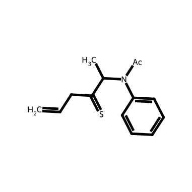 C=CCC(=S)C(C)N(C(C)=O)c1ccccc1